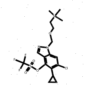 C[Si](C)(C)CCOCn1ncc2c(OS(=O)(=O)C(F)(F)F)c(C3CC3)c(Cl)cc21